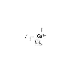 N.[Ga+3].[I-].[I-].[I-]